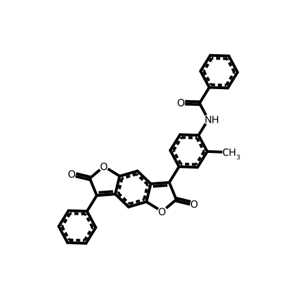 Cc1cc(C2=c3cc4c(cc3OC2=O)=C(c2ccccc2)C(=O)O4)ccc1NC(=O)c1ccccc1